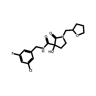 O=C(NCc1cc(F)cc(Cl)c1)C1(O)CCN(CC2CCCO2)C1=O